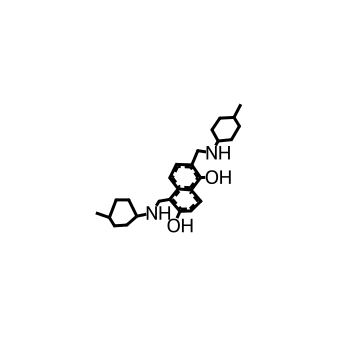 CC1CCC(NCc2ccc3c(CNC4CCC(C)CC4)c(O)ccc3c2O)CC1